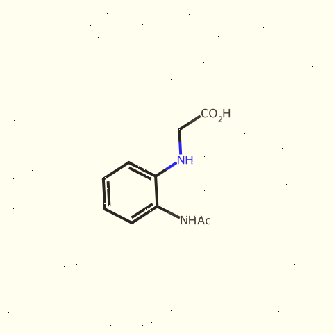 CC(=O)Nc1ccccc1NCC(=O)O